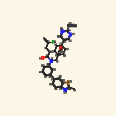 C=C(F)CCC(=O)N(CC12CCC(c3cnc(OC)nc3)(CC1)OC2)c1cccc(-c2ccc3nc(C)sc3c2)c1